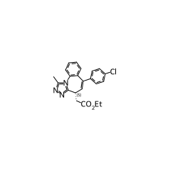 CCOC(=O)C[C@H]1C=C(c2ccc(Cl)cc2)c2ccccc2-n2c(C)nnc21